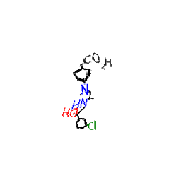 C[C@H](CN(C)c1ccc(CC(=O)O)cc1)NC[C@H](O)c1cccc(Cl)c1